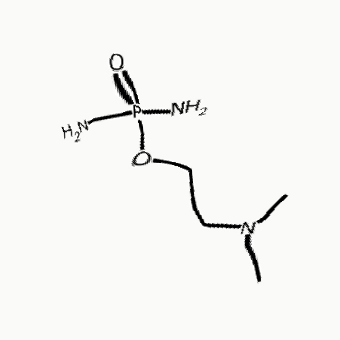 CN(C)CCOP(N)(N)=O